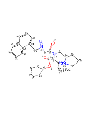 CC(=O)NC[C@@H](C(=O)OC1CCCCC1)N(CC1CCCN1)C(=O)CNCc1cccc2ccccc12